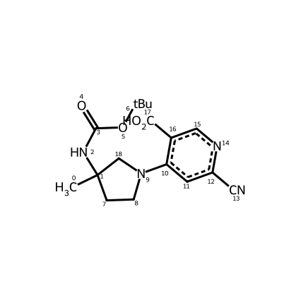 CC1(NC(=O)OC(C)(C)C)CCN(c2cc(C#N)ncc2C(=O)O)C1